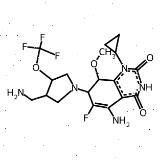 COC1c2c(c(=O)[nH]c(=O)n2C2CC2)C(N)=C(F)C1N1CC(CN)C(OC(F)(F)F)C1